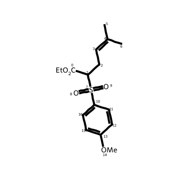 CCOC(=O)C(CC=C(C)C)S(=O)(=O)c1ccc(OC)cc1